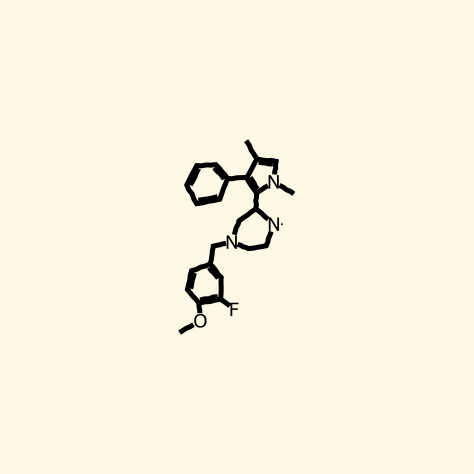 COc1ccc(CN2CC[N]C(c3c(-c4ccccc4)c(C)cn3C)C2)cc1F